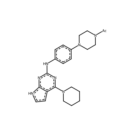 CC(=O)N1CCN(c2ccc(Nc3nc(N4CCCCC4)c4cc[nH]c4n3)cc2)CC1